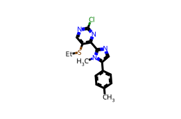 CCSc1cnc(Cl)nc1-c1ncc(-c2ccc(C)cc2)n1C